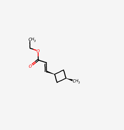 CCOC(=O)/C=C/[C@H]1C[C@@H](C)C1